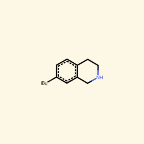 CCC(C)c1ccc2c(c1)CNCC2